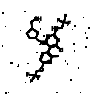 Cc1nc(OCC(F)(F)F)ccc1-c1c(Cl)nc(NCC(F)(F)F)nc1N[C@H]1CC[C@@H](CO)C1